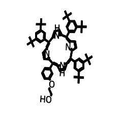 CC(C)(C)c1cc(-c2c3nc(c(-c4cc(C(C)(C)C)cc(C(C)(C)C)c4)c4ccc([nH]4)c(-c4cc(C(C)(C)C)cc(C(C)(C)C)c4)c4nc(c(-c5cccc(OCCO)c5)c5ccc2[nH]5)C=C4)C=C3)cc(C(C)(C)C)c1